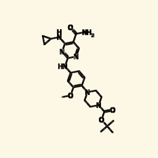 COc1cc(Nc2ncc(C(N)=O)c(NC3CC3)n2)ccc1N1CCN(C(=O)OC(C)(C)C)CC1